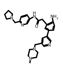 CN1CCN(Cc2cncc(-c3ccc(N)c(CC(=O)Nc4ccc(CN5CCCC5)nc4)c3)c2)CC1